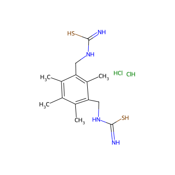 Cc1c(C)c(CNC(=N)S)c(C)c(CNC(=N)S)c1C.Cl.Cl